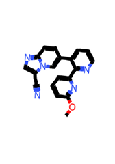 COc1cccc(-c2ncccc2-c2ccc3ncc(C#N)n3c2)n1